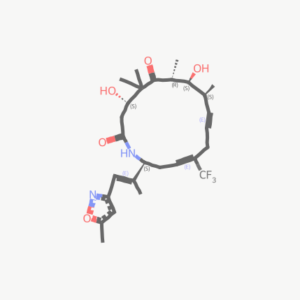 C/C(=C\c1cc(C)on1)[C@@H]1C/C=C(/C(F)(F)F)C/C=C/[C@H](C)[C@H](O)[C@@H](C)C(=O)C(C)(C)[C@@H](O)CC(=O)N1